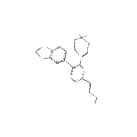 COCCCc1cnc(-c2ccc3c(c2)OCO3)c(N2CCC(O)(C(=O)O)CC2)n1